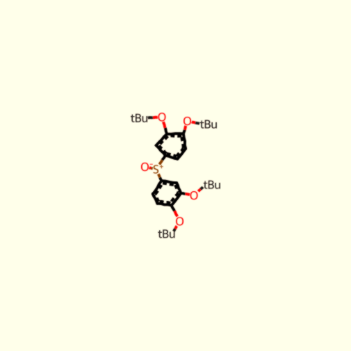 CC(C)(C)Oc1ccc([S+]([O-])c2ccc(OC(C)(C)C)c(OC(C)(C)C)c2)cc1OC(C)(C)C